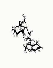 COCC[C@H]([C@@H]1C[C@H]1C(=O)NC1CC(C)(C)Oc2cccc(Cl)c21)N1C(=N)NC(C)(C)CC1=O